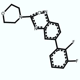 Fc1cccc(-c2ccc3ncc(N4CCOCC4)nc3c2)c1F